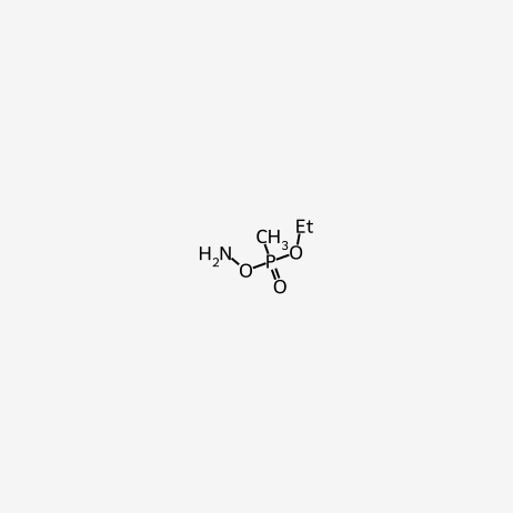 CCOP(C)(=O)ON